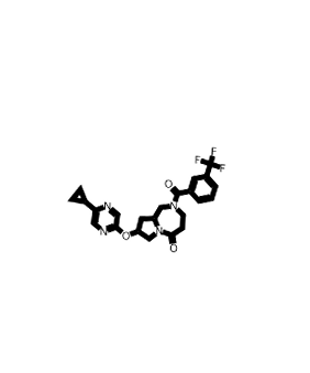 O=C(c1cccc(C(F)(F)F)c1)N1CCC(=O)N2CC(Oc3cnc(C4CC4)cn3)CC2C1